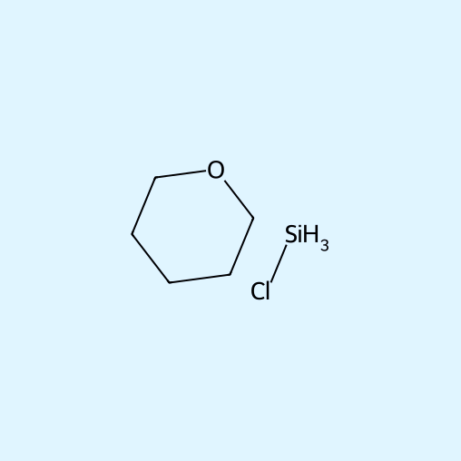 C1CCOCC1.[SiH3]Cl